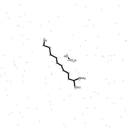 CCCCCCCCC(CCCCCCCC[CH2][Na])NC(C)=O.O=S(=O)(O)O